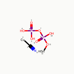 N#[C][Cu].O=P(O)(O)OP(=O)(O)[O][SnH]